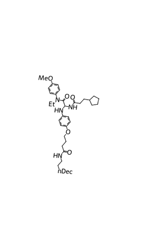 CCCCCCCCCCCCNC(=O)CCCOc1ccc(NC(NC(=O)CCC2CCCC2)C(=O)N(CC)c2ccc(OC)cc2)cc1